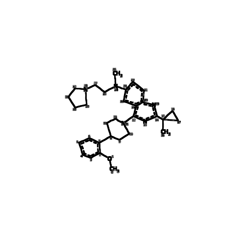 COc1ccccc1C1CCN(c2nc(C3(C)CC3)nc3ccc(N(C)CCN4CCCC4)cc23)CC1